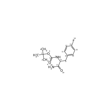 CC(C)(C)OC(=O)NC(Cc1ccc(F)cc1)C(N)=O